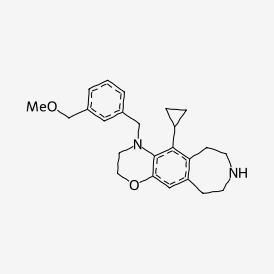 COCc1cccc(CN2CCOc3cc4c(c(C5CC5)c32)CCNCC4)c1